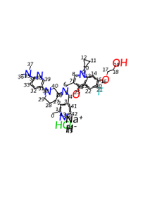 Cc1cc(CN(Cc2cn(C3CC3)c3cc(OCCO)c(F)cc3c2=O)[C@H]2CCCN(c3ccc(N(C)C)nc3)C2)ccn1.Cl.[H-].[Na+]